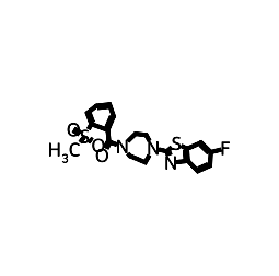 CS(=O)(=O)c1ccccc1C(=O)N1CCN(c2nc3ccc(F)cc3s2)CC1